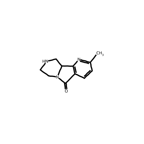 Cc1ccc2c(n1)C1CNCCN1C2=O